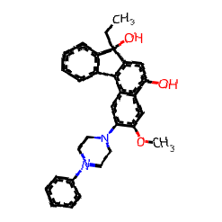 CCC1(O)c2ccccc2-c2c1cc(O)c1cc(OC)c(N3CCN(c4ccccc4)CC3)cc21